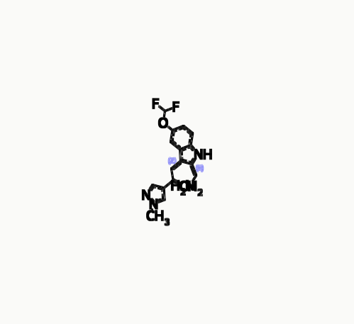 C=C(/C=c1\c(=C/N)[nH]c2ccc(OC(F)F)cc12)c1cnn(C)c1